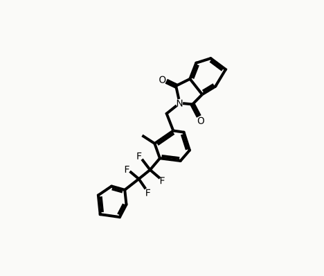 Cc1c(CN2C(=O)c3ccccc3C2=O)cccc1C(F)(F)C(F)(F)c1ccccc1